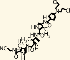 Cc1c(NC(=O)c2ccc(N(CCCl)CCCl)cc2)c[nH]c1C(=O)Nc1c[nH]c(C(=O)Nc2c[nH]c(C(=O)NCCC#N)c2C)c1C